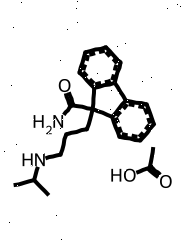 CC(=O)O.CC(C)NCCCC1(C(N)=O)c2ccccc2-c2ccccc21